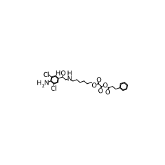 Nc1c(Cl)cc(C(O)CNCCCCCCOC(=O)C(=O)OC(=O)CCc2ccccc2)cc1Cl